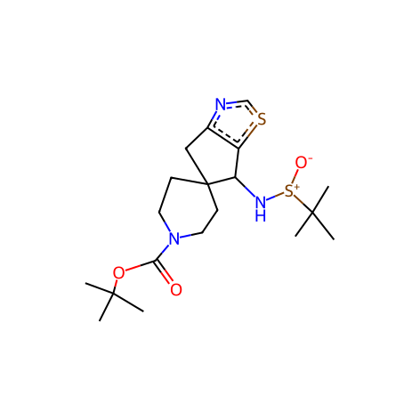 CC(C)(C)OC(=O)N1CCC2(CC1)Cc1ncsc1C2N[S+]([O-])C(C)(C)C